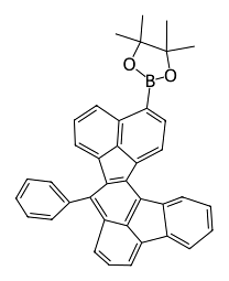 CC1(C)OB(c2ccc3c4c2cccc4c2c(-c4ccccc4)c4cccc5c6ccccc6c(c45)c32)OC1(C)C